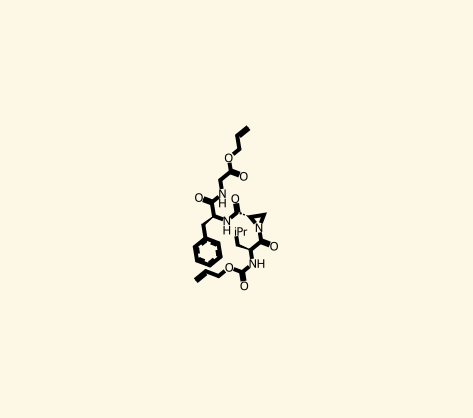 C=CCOC(=O)CNC(=O)[C@H](Cc1ccccc1)NC(=O)[C@@H]1CN1C(=O)[C@H](CC(C)C)NC(=O)OCC=C